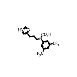 O=C(O)N(CCCc1c[nH]cn1)c1cc(C(F)(F)F)cc(C(F)(F)F)c1